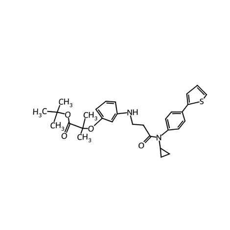 CC(C)(C)OC(=O)C(C)(C)Oc1cccc(NCCC(=O)N(c2ccc(-c3cccs3)cc2)C2CC2)c1